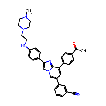 CC(=O)c1ccc(-c2cc(-c3cccc(C#N)c3)cn3cc(-c4ccc(NCCN5CCN(C)CC5)cc4)nc23)cc1